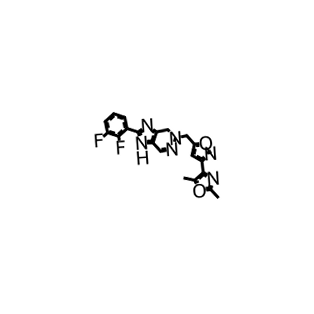 Cc1nc(-c2cc(CN3Cc4nc(-c5cccc(F)c5F)[nH]c4C=N3)on2)c(C)o1